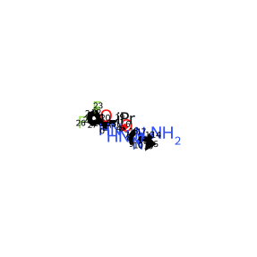 Cc1c([C@@H](NC(=O)Nc2cnc(C3(CN)CC3)nc2)C(C)C)oc2c(F)cc(F)cc12